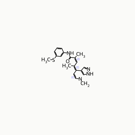 C=N\C=C/C(=C(C)/C=C(/C)C(=O)Nc1cccc(SC)c1)c1cn[nH]c1